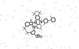 Cc1ccccc1-c1ccc(N2C3=C4B(c5cc6c(cc52)C(C)(C)CCC6(C)C)c2sc5ccc6cc5c2N(C4=CC(C)C3)c2cc(C(C)(C)C)cc(c2)C(C)(C)CC6(C)C)c(C)c1